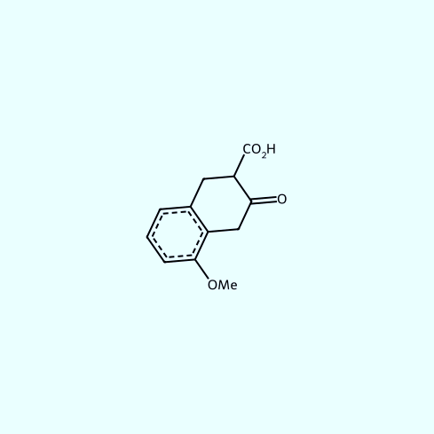 COc1cccc2c1CC(=O)C(C(=O)O)C2